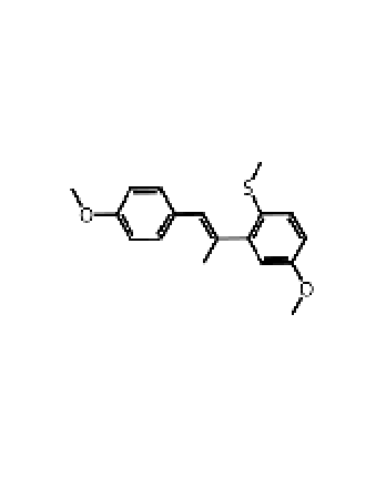 COc1ccc(/C=C(\C)c2cc(OC)ccc2SC)cc1